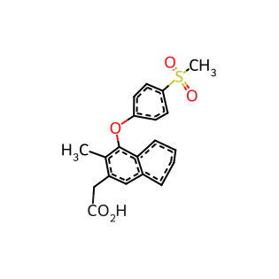 Cc1c(CC(=O)O)cc2ccccc2c1Oc1ccc(S(C)(=O)=O)cc1